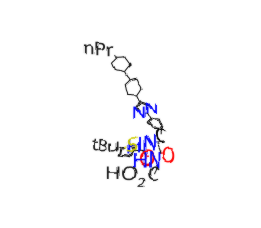 CCCC1CCC(C2CCC(c3cnc(-c4ccc(CC(NC(=O)c5ccc(C(C)(C)C)s5)C(=O)NCC(=O)O)cc4)nc3)CC2)CC1